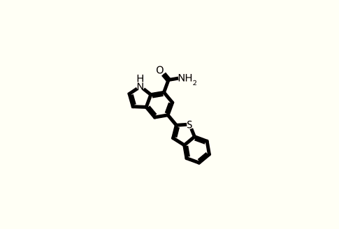 NC(=O)c1cc(-c2cc3ccccc3s2)cc2cc[nH]c12